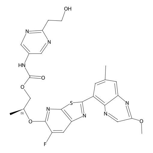 COc1cnc2c(-c3nc4cc(F)c(O[C@@H](C)COC(=O)Nc5cnc(CCO)nc5)nc4s3)cc(C)cc2n1